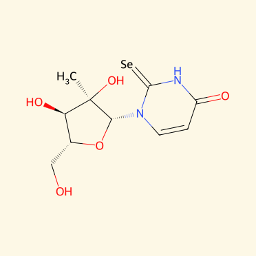 C[C@@]1(O)[C@H](O)[C@@H](CO)O[C@H]1n1ccc(=O)[nH]c1=[Se]